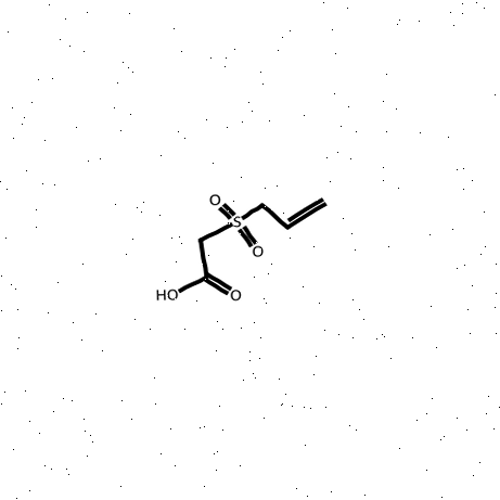 C=CCS(=O)(=O)CC(=O)O